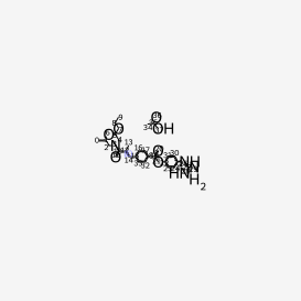 C=CCN(CC(=O)OCC)C(=O)/C(C)=C/c1ccc(C(=O)Oc2ccc(NC(=N)N)cc2)cc1.CC(=O)O